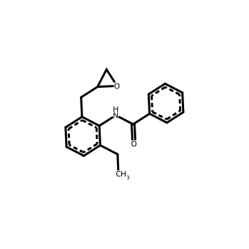 CCc1cccc(CC2CO2)c1NC(=O)c1ccccc1